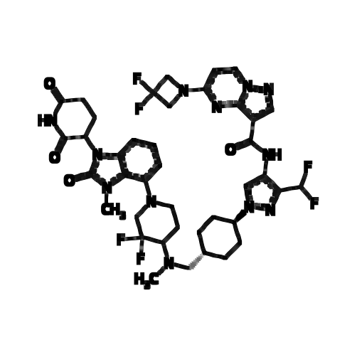 CN(C[C@H]1CC[C@H](n2cc(NC(=O)c3cnn4ccc(N5CC(F)(F)C5)nc34)c(C(F)F)n2)CC1)C1CCN(c2cccc3c2n(C)c(=O)n3C2CCC(=O)NC2=O)CC1(F)F